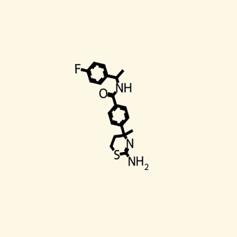 CC(NC(=O)c1ccc(C2(C)CCSC(N)=N2)cc1)c1ccc(F)cc1